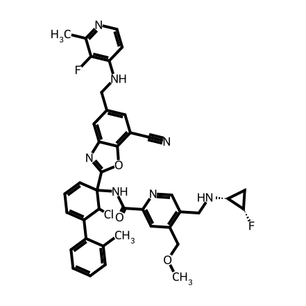 COCc1cc(C(=O)NC2(c3nc4cc(CNc5ccnc(C)c5F)cc(C#N)c4o3)C=CC=C(c3ccccc3C)C2Cl)ncc1CN[C@@H]1C[C@@H]1F